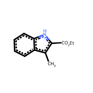 CCOC(=O)c1[nH]c2ccccc2c1C